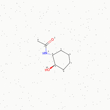 CC(=O)N[C@@H]1CCCC[C@H]1O